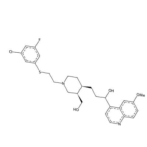 COc1ccc2nccc(C(O)CC[C@@H]3CCN(CCSc4cc(F)cc(Cl)c4)C[C@@H]3CO)c2c1